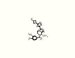 [2H]c1cc(C(=O)N2CCn3c(-c4nc(N5CC(F)C5)ns4)nnc3[C@H]2C)ccc1F